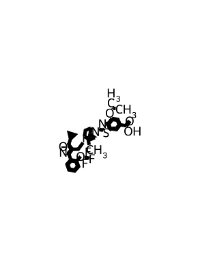 CC(C)Oc1cc(C(=O)O)cc2sc(N3C4CC5CC3C4CC(C)N5Cc3c(-c4ccccc4OC(F)(F)F)noc3C3CC3)nc12